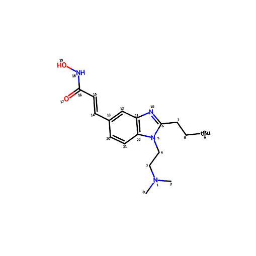 CN(C)CCn1c(CCC(C)(C)C)nc2cc(C=CC(=O)NO)ccc21